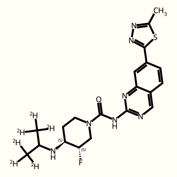 [2H]C([2H])([2H])C(N[C@H]1CCN(C(=O)Nc2ncc3ccc(-c4nnc(C)s4)cc3n2)C[C@@H]1F)C([2H])([2H])[2H]